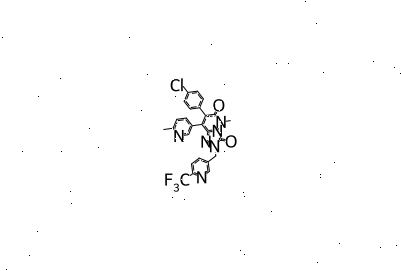 Cc1ccc(-c2c(-c3ccc(Cl)cc3)c(=O)n(C)n3c(=O)n(Cc4ccc(C(F)(F)F)nc4)nc23)cn1